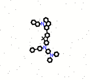 CC1(C)c2cc(-c3cc4ccc5cccc6c5c4c(c3)n6-c3ccc4ccccc4c3)ccc2-c2ccc(N(c3ccc(-c4ccccc4)cc3)c3ccc(N(c4ccccc4)c4ccccc4)cc3)cc21